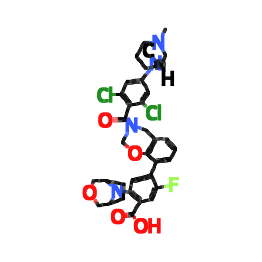 CN1C[C@@H]2CCC1CN2c1cc(Cl)c(C(=O)N2COc3c(cccc3-c3cc(N4C5CCC4COC5)c(C(=O)O)cc3F)C2)c(Cl)c1